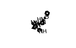 CN(c1nc(-c2ccnc(NCCOc3ccccc3)c2)nc2cncc(C3CC3)c12)C1CCNCC1